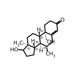 C[C@@H]1CC2=CC(=O)CC[C@]2(CO)[C@H]2CC[C@]3(C)C(O)CC[C@H]3[C@H]12